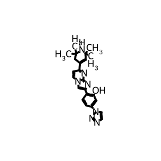 CC1(C)C=C(c2ccn3cc(-c4ccc(-n5ccnn5)cc4O)nc3n2)CC(C)(C)N1